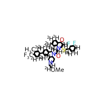 [2H]c1c([2H])c(F)c(F)c(C([2H])([2H])Sc2c([2H])c(=O)c3c([2H])c([2H])c([2H])c([2H])c3n2C([2H])([2H])C(=O)N(Cc2c([2H])c([2H])c(-c3c([2H])c([2H])c(C(F)(F)F)c(C)c3[2H])c([2H])c2[2H])C2CCN(CC([2H])([2H])OC)CC2)c1[2H]